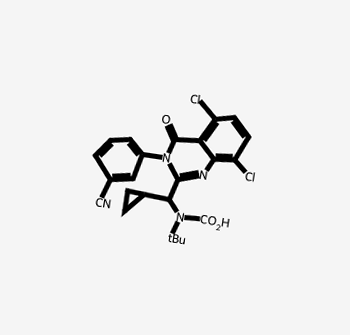 CC(C)(C)N(C(=O)O)C(c1nc2c(Cl)ccc(Cl)c2c(=O)n1-c1cccc(C#N)c1)C1CC1